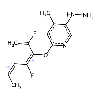 C=C(F)/C(Oc1cc(C)c(NN)cn1)=C(F)\C=C/C